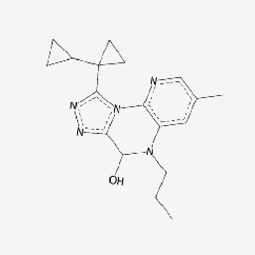 CCCN1c2cc(C)cnc2-n2c(nnc2C2(C3CC3)CC2)C1O